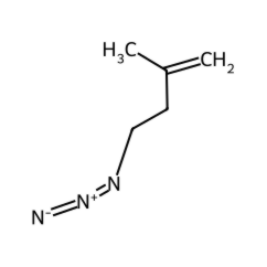 C=C(C)CCN=[N+]=[N-]